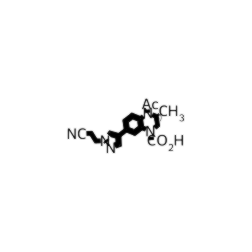 CC(=O)N1c2ccc(-c3cnn(CCC#N)c3)cc2N(C(=O)O)C[C@@H]1C